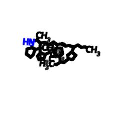 CCCCC(CC=CCCCCC1C(C)NC2CCCCC2C1(C)C1CCCC1C(C)C)C1CCC(CC(CC)C2CCCCC2C)C1